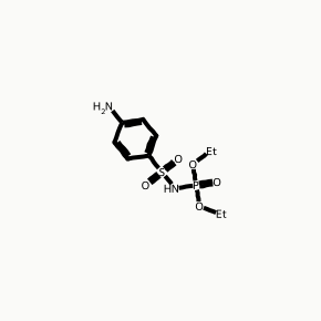 CCOP(=O)(NS(=O)(=O)c1ccc(N)cc1)OCC